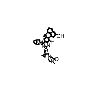 C#Cc1cccc2cc(O)cc(-c3c(F)cc4c(N5CC6CCC(C5)N6)nc(OCC5(CN6CCN(C)C(=O)C6)CC5)nc4c3F)c12